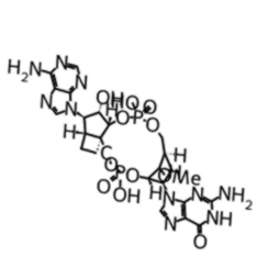 CO[C@@H]1[C@H]2COP(=O)(O)O[C@H]3[C@@H](O)[C@H](n4cnc5c(N)ncnc54)[C@H]4CC[C@]43COP(=O)(O)O[C@H]1[C@H](n1cnc3c(=O)[nH]c(N)nc31)C2